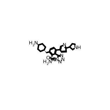 NS(=O)(=O)c1c(C[C@H]2CC[C@@H](N)CC2)ccc(-c2ccc(C3CCNC3)nc2)c1-c1nnn[nH]1